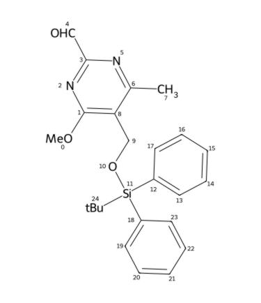 COc1nc(C=O)nc(C)c1CO[Si](c1ccccc1)(c1ccccc1)C(C)(C)C